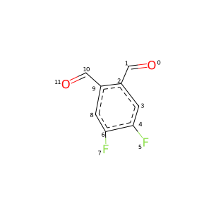 O=Cc1cc(F)c(F)cc1C=O